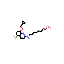 CN(CCCCCCCCO)c1ccc2c(Cl)ccc(OCC3CC3)c2n1